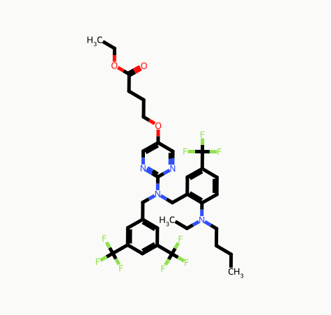 CCCCN(CC)c1ccc(C(F)(F)F)cc1CN(Cc1cc(C(F)(F)F)cc(C(F)(F)F)c1)c1ncc(OCCCC(=O)OCC)cn1